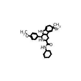 COc1ccc(C2NC(C(=O)NC3CCCCC3)Cc3c2[nH]c2c3=CC(C)(Br)CC=2)cc1